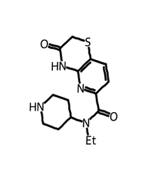 CCN(C(=O)c1ccc2c(n1)NC(=O)CS2)C1CCNCC1